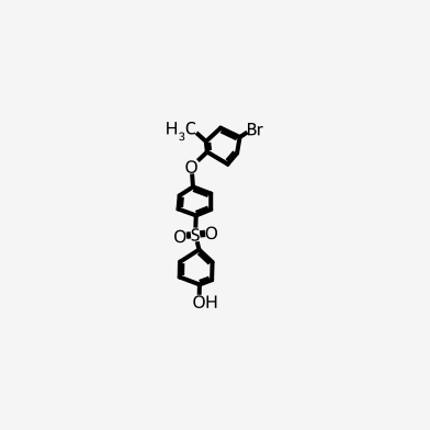 Cc1cc(Br)ccc1Oc1ccc(S(=O)(=O)c2ccc(O)cc2)cc1